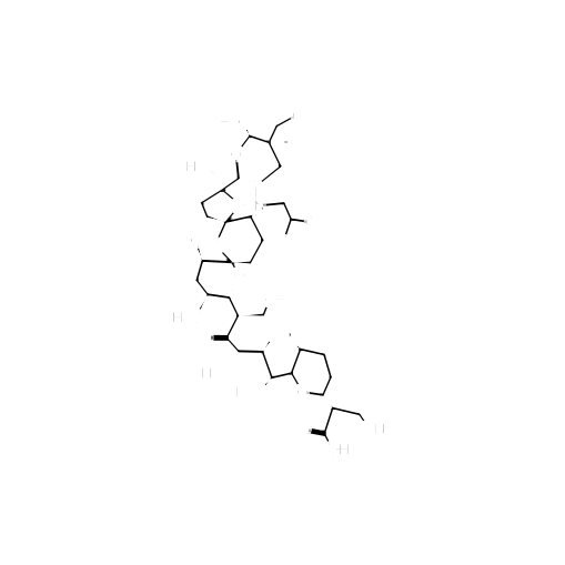 CCC(C(=O)O)[C@H]1CC[C@H](C)C([C@@H](C)[C@H](O)[C@H](C)C(=O)[C@H](CC)[C@H]2O[C@]3(CC[C@@H](NCC(C)C)[C@]4(CC[C@@](C)([C@H]5CC[C@](O)(CC)[C@H](C)O5)O4)O3)[C@H](C)C[C@@H]2C)O1